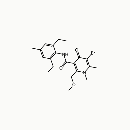 CCc1cc(C)cc(CC)c1NC(=O)c1c(COC)n(C)c(C)c(Br)c1=O